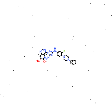 COc1cc2c(-n3nc(Nc4ccc(N5CCN(C6CC7CCC6C7)CC5)c(F)c4)nc3N)ncnc2cc1O